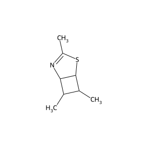 CC1=NC2C(C)C(C)C2S1